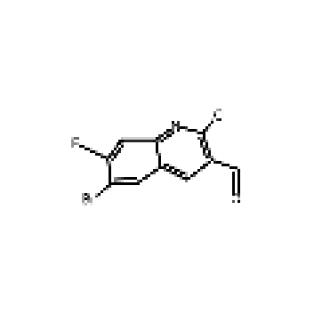 O=Cc1cc2cc(Br)c(F)cc2nc1Cl